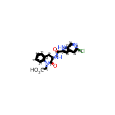 O=C(O)CN1C(=O)C(NC(=O)c2cc3cc(Cl)ncc3[nH]2)Cc2ccccc21